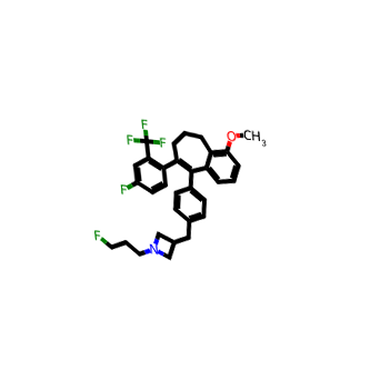 COc1cccc2c1CCCC(c1ccc(F)cc1C(F)(F)F)=C2c1ccc(CC2CN(CCCF)C2)cc1